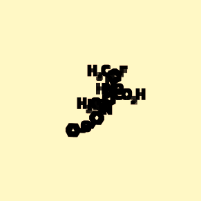 Cc1cc(F)cc(C(=O)Nc2cc3c(cc2C(=O)O)N=C(C2CCC(COCc4ccccc4)CC2)[SH]3C)n1